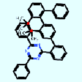 CC1(C)c2cc(-c3ccccc3-c3nc(-c4ccccc4)nc(-c4ccccc4)n3)ccc2-c2c(-c3ccccc3)cccc2C1(C)C